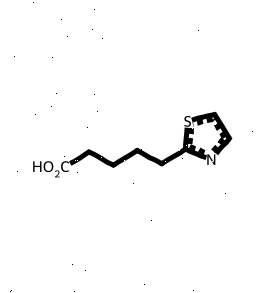 O=C(O)CCCCc1nccs1